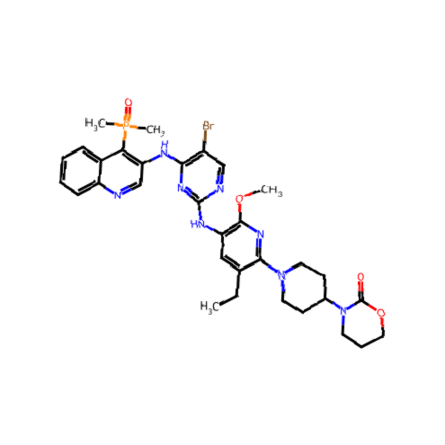 CCc1cc(Nc2ncc(Br)c(Nc3cnc4ccccc4c3P(C)(C)=O)n2)c(OC)nc1N1CCC(N2CCCOC2=O)CC1